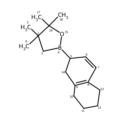 CC1(C)CB(C2C=CC3=C(CCCC3)C2)OC1(C)C